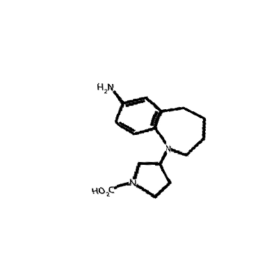 Nc1ccc2c(c1)CCCCN2C1CCN(C(=O)O)C1